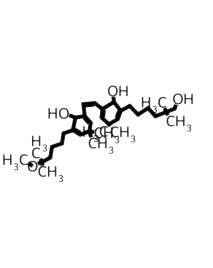 COC(C)(C)CCCCC1=CC(C)(C)C=C(/C=C\C2=CC(C)(C)C=C(CCCCC(C)(C)CO)C2O)C1O